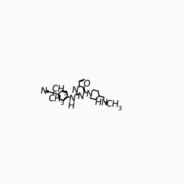 CNCC1CCN(c2nc(Nc3ccc(C(C)(C)C#N)cc3)nc3ccoc23)CC1